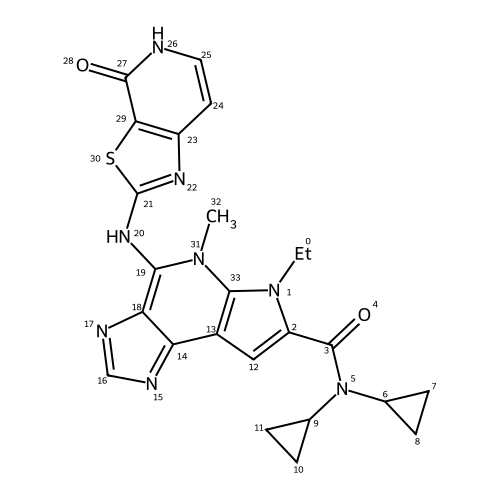 CCn1c(C(=O)N(C2CC2)C2CC2)cc2c3ncnc-3c(Nc3nc4cc[nH]c(=O)c4s3)n(C)c21